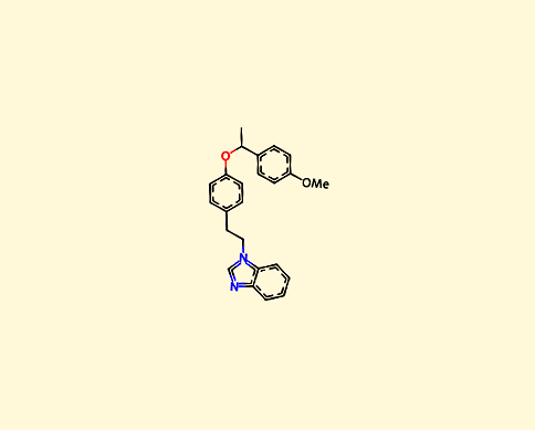 COc1ccc(C(C)Oc2ccc(CCn3cnc4ccccc43)cc2)cc1